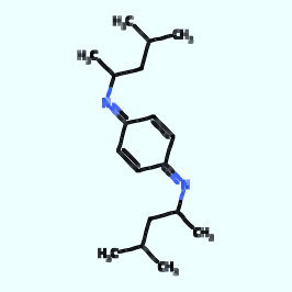 CC(C)CC(C)N=C1C=CC(=NC(C)CC(C)C)C=C1